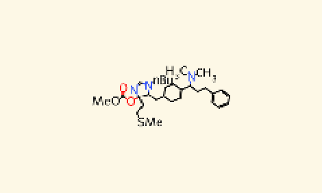 CCCCN1C=NC(CCSC)(OC(=O)OC)C1CC1CCC(C(CCc2ccccc2)N(C)C)CC1